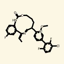 C/C=C1\N=C\C(c2ccc(-c3c(F)ccc(Cl)c3F)c[n+]2OC)CCCCC(=O)Nc2ccc(F)cc21